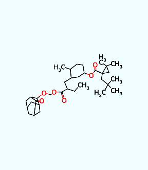 CCC(CC1CC(OC(=O)C2(CC(C)(C)C)CC2(C)C)CCC1C)C(=O)OCOC1C2CC3CC(C2)C(=O)C1C3